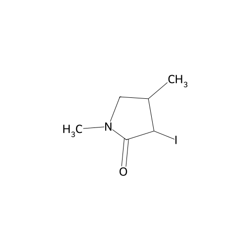 CC1CN(C)C(=O)C1I